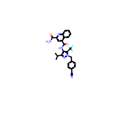 CC(C)c1nn(Cc2ccc(C#N)cc2)c(C(F)(F)F)c1NC(=O)c1cc(C(N)=O)nc2ccccc12